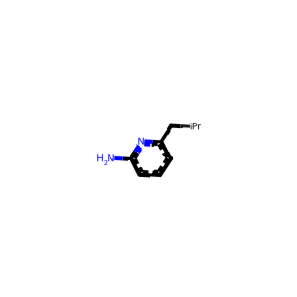 CC(C)Cc1cccc(N)n1